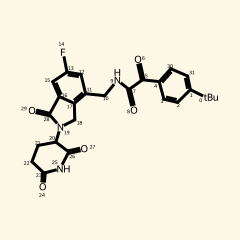 CC(C)(C)c1ccc(C(=O)C(=O)NCc2cc(F)cc3c2CN(C2CCC(=O)NC2=O)C3=O)cc1